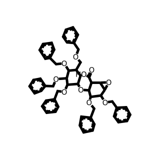 O=C(O)C1C(OC2CC(COCc3ccccc3)C(OCc3ccccc3)C(OCc3ccccc3)C2OCc2ccccc2)C(OCc2ccccc2)C(OCc2ccccc2)C2OC21